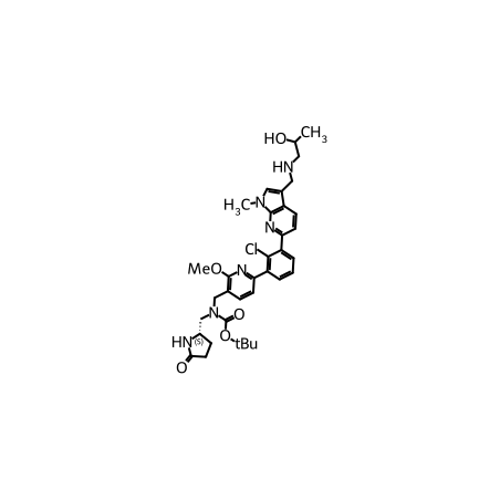 COc1nc(-c2cccc(-c3ccc4c(CNCC(C)O)cn(C)c4n3)c2Cl)ccc1CN(C[C@@H]1CCC(=O)N1)C(=O)OC(C)(C)C